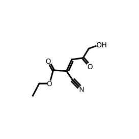 CCOC(=O)C(C#N)=CC(=O)CO